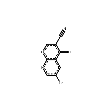 N#Cc1coc2ncc(Br)cc2c1=O